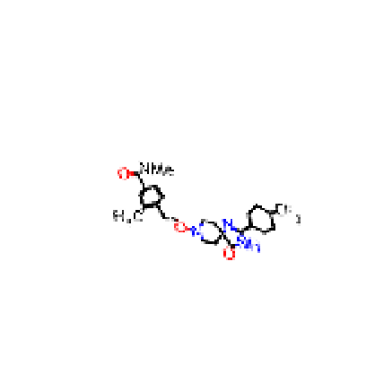 CNC(=O)c1ccc(CCON2CCC3(CC2)N=C(C2CCC(C(F)(F)F)CC2)NC3=O)c(C)c1